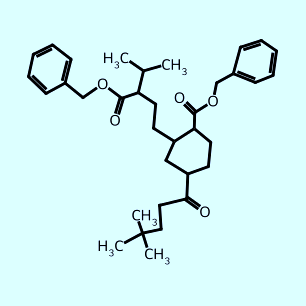 CC(C)C(CCC1CC(C(=O)CCC(C)(C)C)CCC1C(=O)OCc1ccccc1)C(=O)OCc1ccccc1